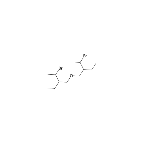 CCC(COCC(CC)C(C)Br)C(C)Br